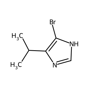 CC(C)c1nc[nH]c1Br